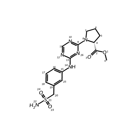 COC(=O)[C@H]1CCCN1c1ncnc(Nc2cccc(CS(N)(=O)=O)c2)n1